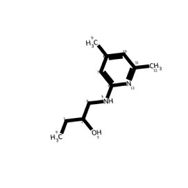 CCC(O)CNc1cc(C)cc(C)n1